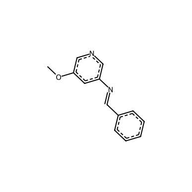 COc1cncc(N=Cc2ccccc2)c1